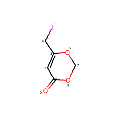 O=C1C=C(CI)OCO1